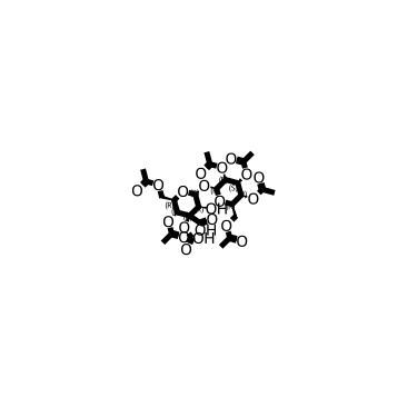 CC(=O)OC[C@H]1O[C@H](O[C@H]2O[C@H](COC(C)=O)[C@@H](OC(C)=O)[C@@](OC(=O)O)(C(=O)O)[C@H]2O)[C@H](OC(C)=O)[C@@H](OC(C)=O)[C@@H]1OC(C)=O